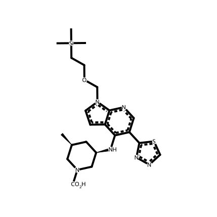 C[C@H]1C[C@@H](Nc2c(-c3nncs3)cnc3c2ccn3COCC[Si](C)(C)C)CN(C(=O)O)C1